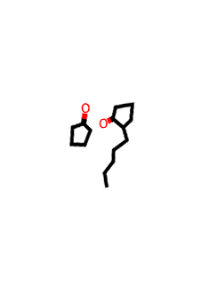 CCCCCC1CCCC1=O.O=C1CCCC1